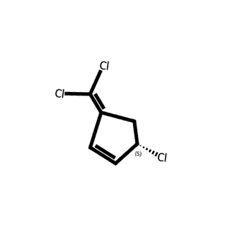 ClC(Cl)=C1C=C[C@@H](Cl)C1